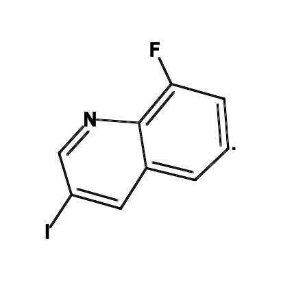 Fc1c[c]cc2cc(I)cnc12